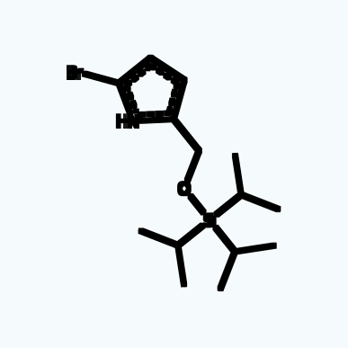 CC(C)[Si](OCc1ccc(Br)[nH]1)(C(C)C)C(C)C